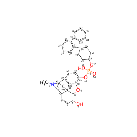 CN1C2C3C=CC(O)C4Oc5c(OP(=O)(O)OC6CCC(c7ccccc7)(c7ccccc7)CC6)ccc6c5C34CC621